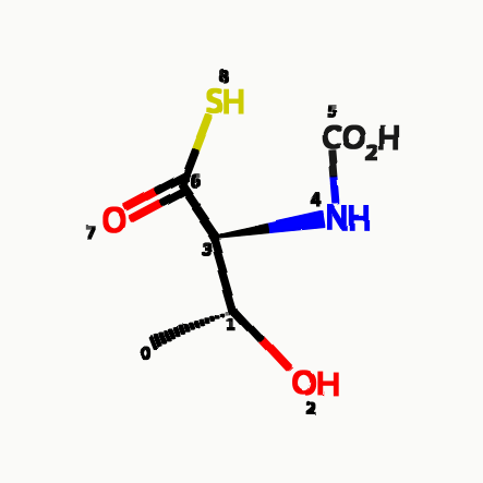 C[C@@H](O)[C@H](NC(=O)O)C(=O)S